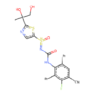 CC(C)c1cc(C#N)c(F)c(C(C)C)c1NC(=O)N=[SH](=O)c1cnc(C(C)(O)CO)s1